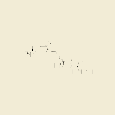 N=C(CCC(=O)NO)OCCOC(=N)CCC(=O)NO